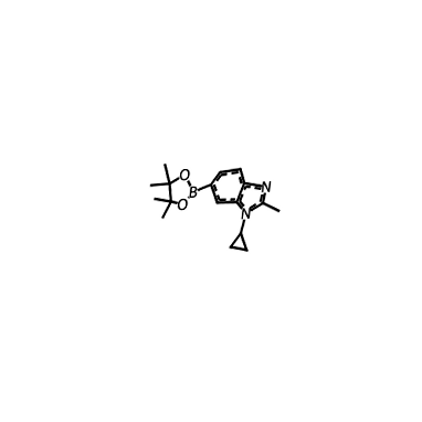 Cc1nc2ccc(B3OC(C)(C)C(C)(C)O3)cc2n1C1CC1